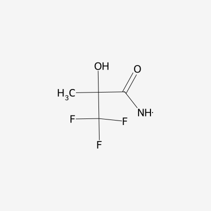 CC(O)(C([NH])=O)C(F)(F)F